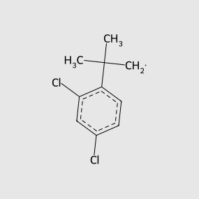 [CH2]C(C)(C)c1ccc(Cl)cc1Cl